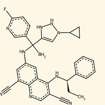 BC(Nc1cc(C#N)c2ncc(C#N)c(N[C@H](CC)c3ccccc3)c2c1)(C1=CN(C2CC2)NN1)c1ccc(F)nc1